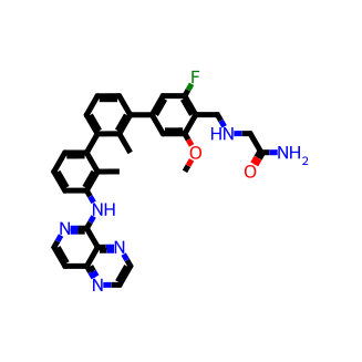 COc1cc(-c2cccc(-c3cccc(Nc4nccc5nccnc45)c3C)c2C)cc(F)c1CNCC(N)=O